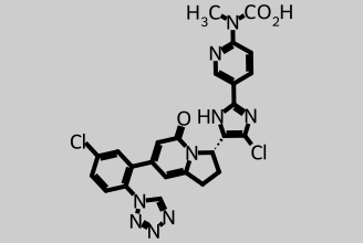 CN(C(=O)O)c1ccc(-c2nc(Cl)c([C@@H]3CCc4cc(-c5cc(Cl)ccc5-n5cnnn5)cc(=O)n43)[nH]2)cn1